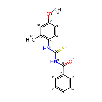 COc1ccc(NC(=S)NC(=O)c2ccccc2)c(C)c1